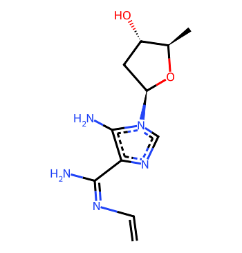 C=C/N=C(/N)c1ncn([C@H]2C[C@H](O)[C@@H](C)O2)c1N